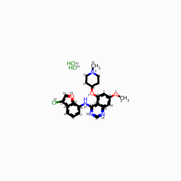 COc1cc(OC2CCN(C)CC2)c2c(Nc3cccc4c(Cl)coc34)ncnc2c1.Cl.Cl